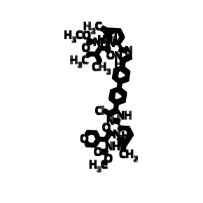 C=C1[C@@H]2[C@H]1CC[C@@H](c1ncc(-c3ccc(-c4ccc(-c5[nH]c([C@@H]6CC[C@H]7C(=C)[C@H]7N6C(=O)[C@@H](NC(=O)OC)C6CCOCC6)nc5Cl)cc4)cc3)[nH]1)N2C(=O)[C@@H](NC(=O)OC)C(CC)CC